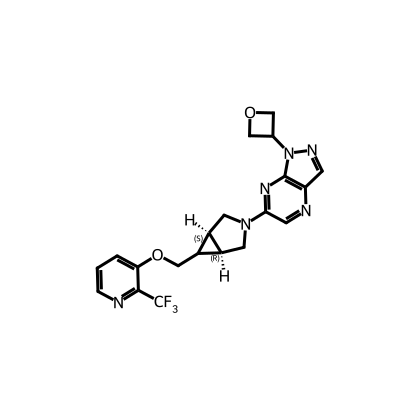 FC(F)(F)c1ncccc1OCC1[C@H]2CN(c3cnc4cnn(C5COC5)c4n3)C[C@@H]12